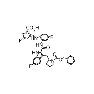 O=C(Nc1cc(F)ccc1NC[C@@H]1C[C@H](F)CN1C(=O)O)c1[nH]c2cc(F)ccc2c1CC1CCCN1C(=O)OCc1ccccc1